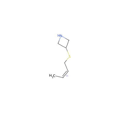 C/C=C\CSC1CNC1